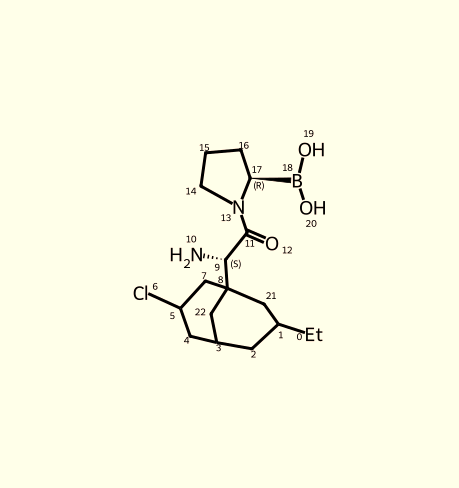 CCC1CC2CC(Cl)CC([C@H](N)C(=O)N3CCC[C@H]3B(O)O)(C1)C2